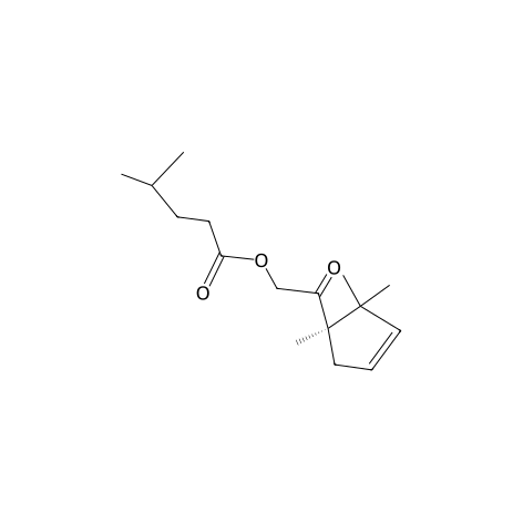 CC(C)CCC(=O)OCC(=O)[C@]1(C)CC=CC1(C)C